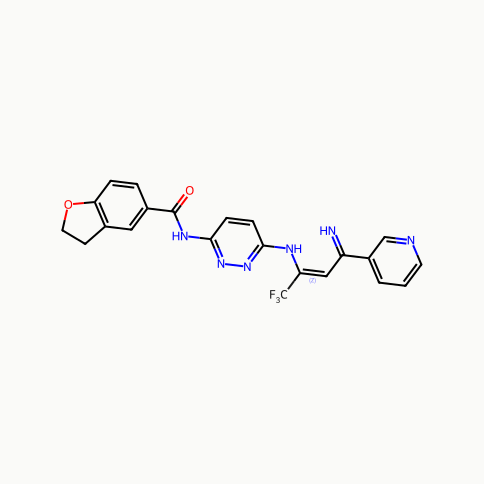 N=C(/C=C(\Nc1ccc(NC(=O)c2ccc3c(c2)CCO3)nn1)C(F)(F)F)c1cccnc1